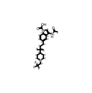 CC(=O)Nc1cn(C(=O)O)c2ccc(CCC(C)(C)C3CCN(CC(F)(F)F)CC3)cc12